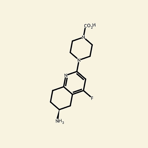 N[C@H]1CCc2nc(N3CCN(C(=O)O)CC3)cc(F)c2C1